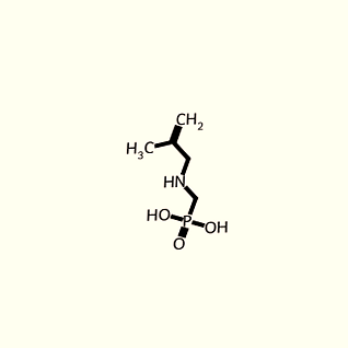 C=C(C)CNCP(=O)(O)O